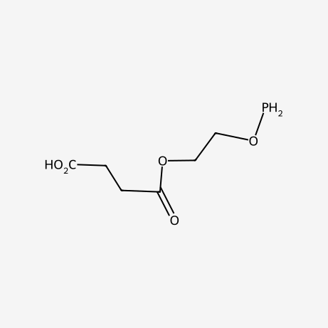 O=C(O)CCC(=O)OCCOP